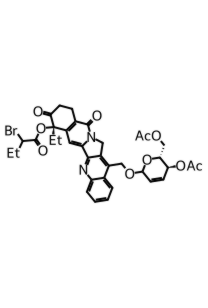 CCC(Br)C(=O)O[C@]1(CC)C(=O)CCc2c1cc1n(c2=O)Cc2c-1nc1ccccc1c2COC1C=C[C@H](OC(C)=O)[C@@H](COC(C)=O)O1